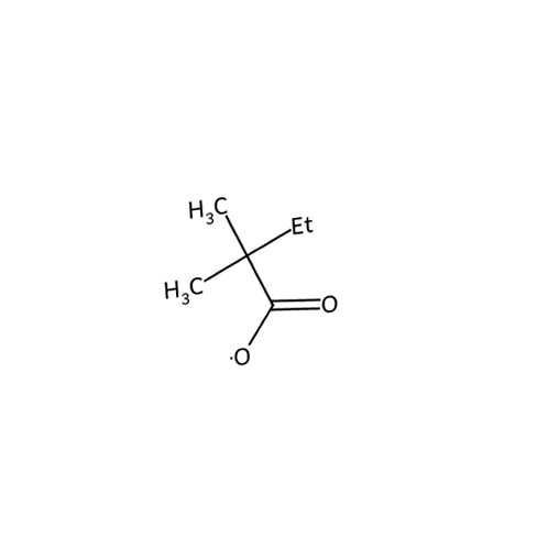 CCC(C)(C)C([O])=O